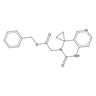 O=C(CN1C(=O)Nc2ccncc2C12CC2)OCc1ccccc1